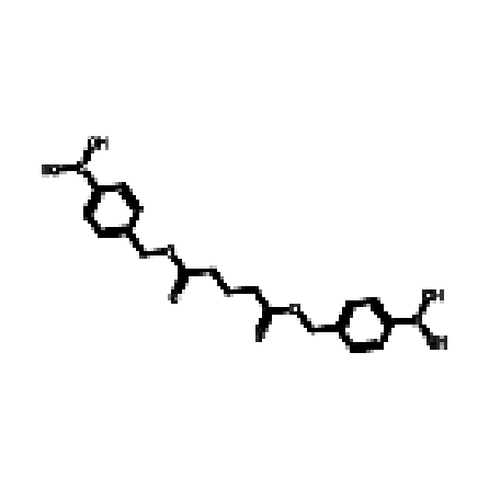 O=C(CCCC(=O)OCc1ccc(B(O)O)cc1)OCc1ccc(B(O)O)cc1